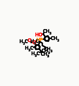 CCCCC(C)(Pc1ccc(C)cc1C(C)O)c1cc(C(C)(C)C)cc(C)c1OCOC